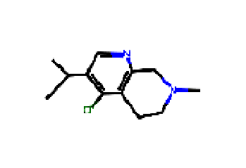 CC(C)c1cnc2c(c1Cl)CCN(C)C2